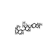 CC(C)n1cnc2cnc(-c3cnc(N4CCc5[nH]ncc5C4)nc3N)cc21